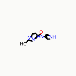 C#Cc1cn2cc(C(=O)NC3CC4CC3CN4)ccc2n1